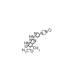 CC(=O)c1c(C)c2cnc(Nc3ccc(N4CCN(C5CCC5)CC4)cn3)nc2[nH]c1=O